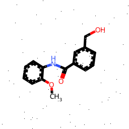 COc1ccccc1NC(=O)c1cccc(CO)c1